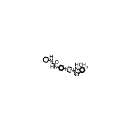 Cc1cccc(Cl)c1NC(=O)N1CCN(c2ccc(NC(=O)CNC3CCCCC3)cc2)CC1